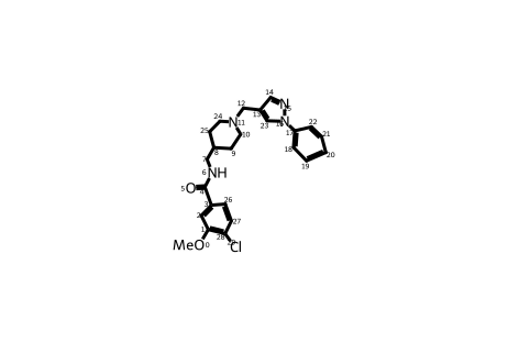 COc1cc(C(=O)NCC2CCN(Cc3cnn(-c4ccccc4)c3)CC2)ccc1Cl